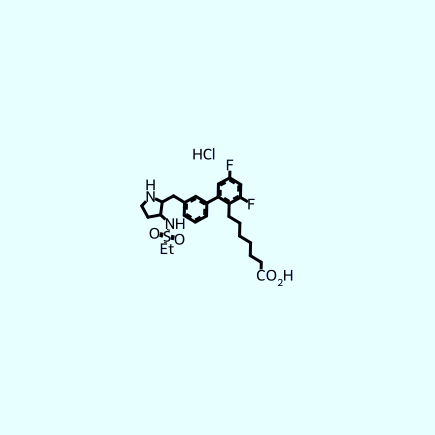 CCS(=O)(=O)NC1CCNC1Cc1cccc(-c2cc(F)cc(F)c2CCCCCCC(=O)O)c1.Cl